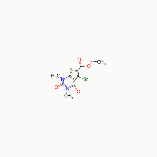 CCOC(=O)c1sc2c(c1Br)c(=O)n(C)c(=O)n2C